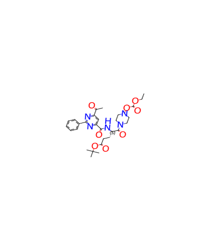 CCOC(=O)ON1CCN(C(=O)[C@H](CCC(=O)OC(C)(C)C)NC(=O)c2cc(C(C)=O)nc(-c3ccccc3)n2)CC1